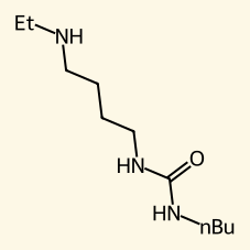 CCCCNC(=O)NCCCCNCC